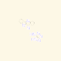 c1ccc2c3c4c(nc2c1)c1ccccc1n4CCCN3CCCNc1ncnc2nc[nH]c12